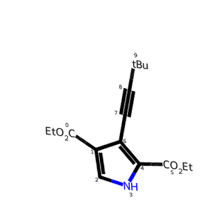 CCOC(=O)c1c[nH]c(C(=O)OCC)c1C#CC(C)(C)C